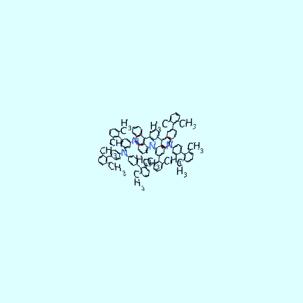 Cc1cccc(C)c1-c1ccc(N(c2ccc(-c3c(C)cccc3C)cc2)c2cc(-c3c(C)cccc3C)cc(N(c3ccccc3)c3cccc(N(c4cc(-c5c(C)cccc5C)cc(N(c5ccc(-c6c(C)cccc6C)cc5)c5ccc(-c6c(C)cccc6C)cc5)c4)c4c(-c5ccccc5)cccc4-c4ccccc4)c3)c2)cc1